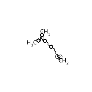 C=CC(=O)OCCCCCc1ccc(CCc2ccc(N(c3ccc(C)cc3)c3ccc(C)cc3)cc2)cc1